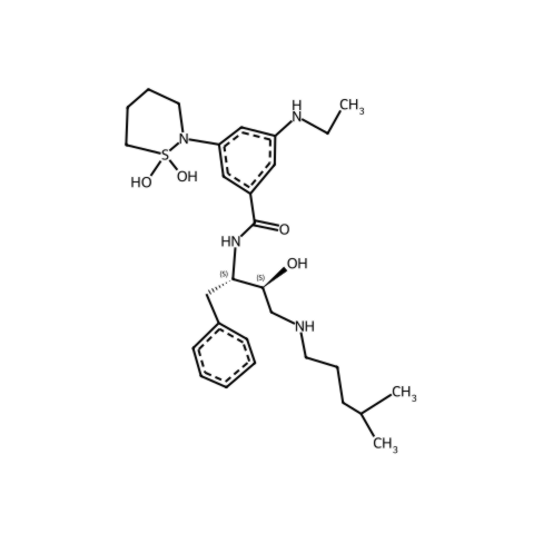 CCNc1cc(C(=O)N[C@@H](Cc2ccccc2)[C@@H](O)CNCCCC(C)C)cc(N2CCCCS2(O)O)c1